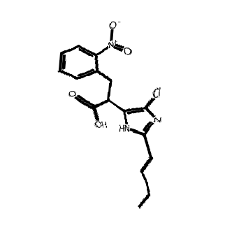 CCCCc1nc(Cl)c(C(Cc2ccccc2[N+](=O)[O-])C(=O)O)[nH]1